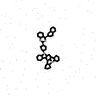 c1ccc2cc(-c3nc(-c4ccc(-n5c6ccccc6c6c7c8ccccc8n8c9ccccc9c(cc65)c78)cc4)nc4ccccc34)ccc2c1